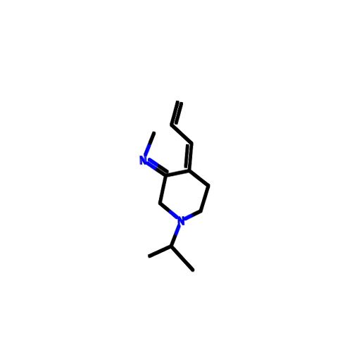 C=C/C=C1/CCN(C(C)C)C/C1=N/C